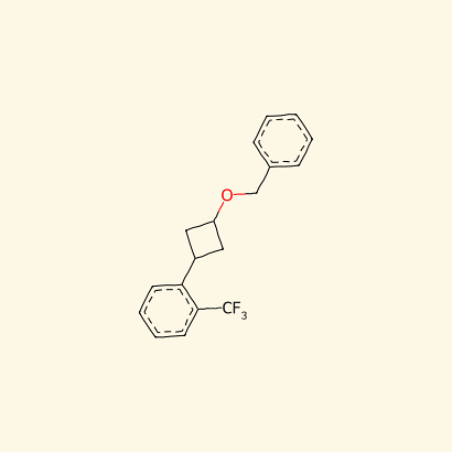 FC(F)(F)c1ccccc1C1CC(OCc2ccccc2)C1